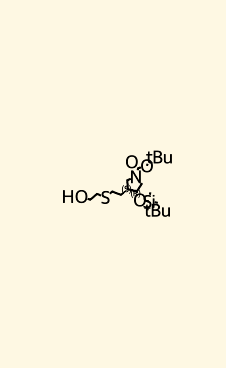 CC(C)(C)OC(=O)N1C[C@H](CCSCCO)[C@@H](O[Si](C)(C)C(C)(C)C)C1